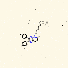 Cc1ccc(-c2nc3c(nc2-c2ccc(C)cc2)N(CCCCCCC(=O)O)C(C)CC3)cc1